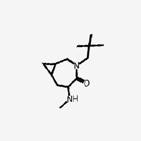 CNC1CC2CC2CN(CC(C)(C)C)C1=O